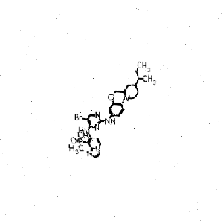 CCC(C)C1CCN2c3ccc(Nc4ncc(Br)c(Nc5ccn6ccnc6c5P(C)(C)=O)n4)cc3OCC2C1